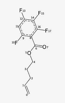 C=CCCCOC(=O)c1c(F)cc(F)c(F)c1F